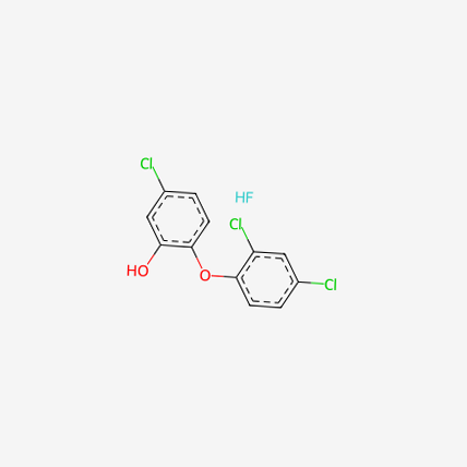 F.Oc1cc(Cl)ccc1Oc1ccc(Cl)cc1Cl